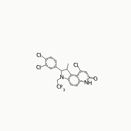 CC1c2c(ccc3[nH]c(=O)cc(Cl)c23)N(CC(F)(F)F)C1c1ccc(Cl)c(Cl)c1